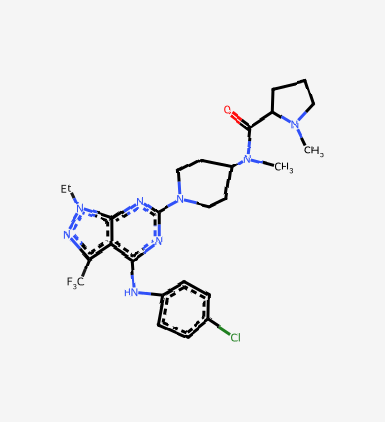 CCn1nc(C(F)(F)F)c2c(Nc3ccc(Cl)cc3)nc(N3CCC(N(C)C(=O)C4CCCN4C)CC3)nc21